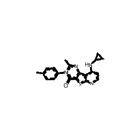 Cc1ccc(-n2c(C)nc3c(sc4nccc(NC5CC5)c43)c2=O)cc1